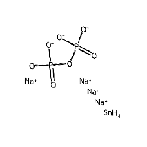 O=P([O-])([O-])OP(=O)([O-])[O-].[Na+].[Na+].[Na+].[Na+].[SnH4]